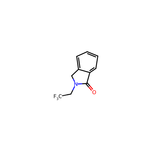 O=C1c2ccccc2CN1CC(F)(F)F